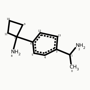 CC(N)c1ccc(C2(N)CCC2)cc1